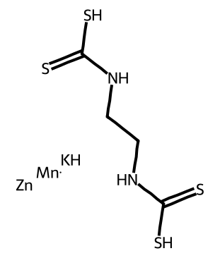 S=C(S)NCCNC(=S)S.[KH].[Mn].[Zn]